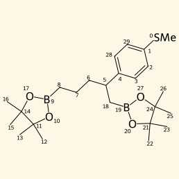 CSc1ccc(C(CCCB2OC(C)(C)C(C)(C)O2)CB2OC(C)(C)C(C)(C)O2)cc1